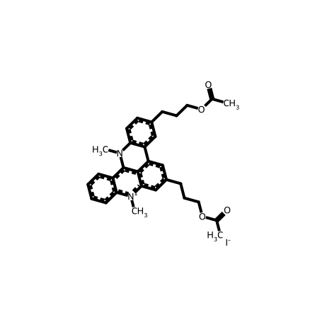 CC(=O)OCCCc1ccc2c(c1)-c1cc(CCCOC(C)=O)cc3c1c(c1ccccc1[n+]3C)N2C.[I-]